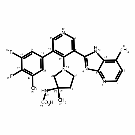 Cc1ccnc2nc(-c3cncc(-c4cc(F)c(F)c(C#N)c4)c3N3CC[C@](C)(NC(=O)O)C3)[nH]c12